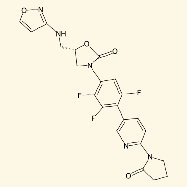 O=C1CCCN1c1ccc(-c2c(F)cc(N3C[C@H](CNc4ccon4)OC3=O)c(F)c2F)cn1